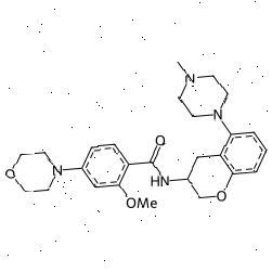 COc1cc(N2CCOCC2)ccc1C(=O)NC1COc2cccc(N3CCN(C)CC3)c2C1